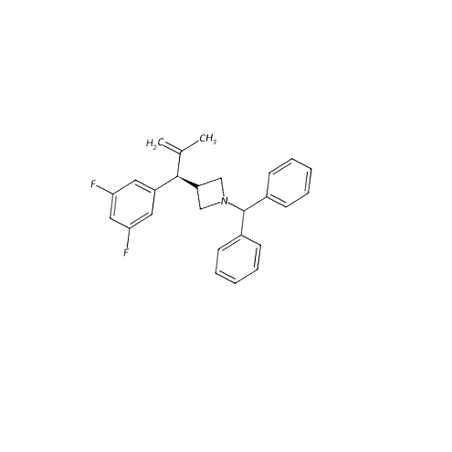 C=C(C)[C@H](c1cc(F)cc(F)c1)C1CN(C(c2ccccc2)c2ccccc2)C1